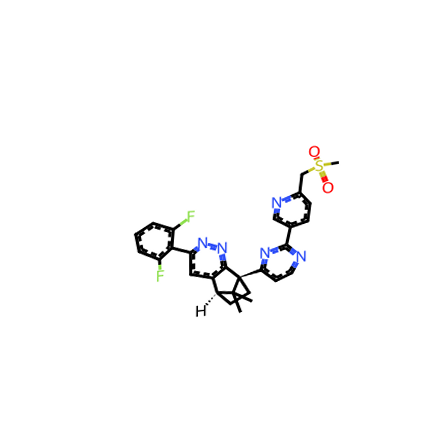 CC1(C)[C@H]2CC[C@@]1(c1ccnc(-c3ccc(CS(C)(=O)=O)nc3)n1)c1nnc(-c3c(F)cccc3F)cc12